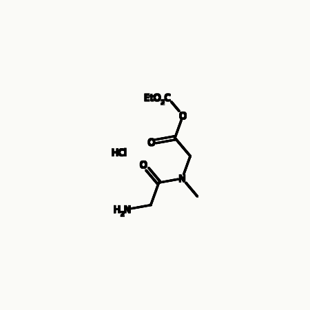 CCOC(=O)OC(=O)CN(C)C(=O)CN.Cl